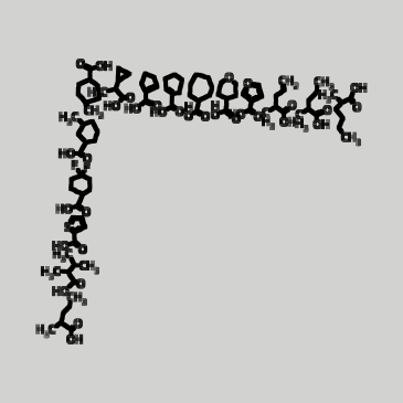 C=C1CCC(C(=O)O)CC1.C=CCC(C)C(=O)O.CC(C(=O)O)C1CC1.CC(C)C(C)C(=O)O.CC1CCCC(C(=O)O)C1.CCCC(C)C(=O)O.CCCC(C)C(=O)O.CCCCC(C)C(=O)O.O=C(O)C1=CCCC1.O=C(O)C1=CCCCC1.O=C(O)C1CCC(F)(F)CC1.O=C(O)C1CCCCCC1.O=C(O)C1CCOCC1.O=C(O)c1cccs1.O=C(O)c1ccoc1